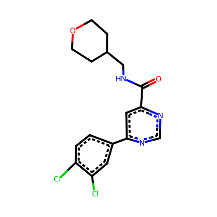 O=C(NCC1CCOCC1)c1cc(-c2ccc(Cl)c(Cl)c2)ncn1